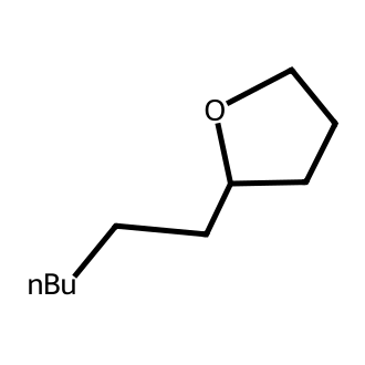 [CH2]CCCCCC1CCCO1